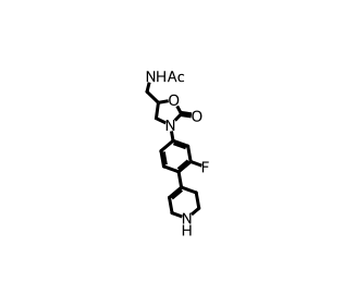 CC(=O)NCC1CN(c2ccc(C3=CCNCC3)c(F)c2)C(=O)O1